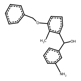 Cc1c(OCc2ccccc2)cccc1C(O)c1cccc(N)c1